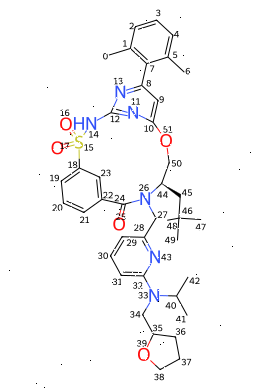 Cc1cccc(C)c1-c1cc2nc(n1)NS(=O)(=O)c1cccc(c1)C(=O)N(Cc1cccc(N(CC3CCCO3)C(C)C)n1)[C@H](CC(C)(C)C)CO2